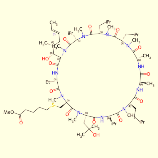 C/C=C/C[C@@H](C)[C@@H](O)[C@H]1C(=O)N[C@@H](CC)C(=O)N(C)[C@H](CSCCCCC(=O)OC)C(=O)N(C)[C@@H](CC(C)(C)O)C(=O)N[C@H](C(C)C)C(=O)N(C)[C@H](CCC(C)C)C(=O)N[C@H](C)C(=O)N[C@@H](C)C(=O)N(C)[C@@H](CC(C)C)C(=O)N(C)[C@@H](CC(C)C)C(=O)N(C)[C@@H](C(C)C)C(=O)N1C